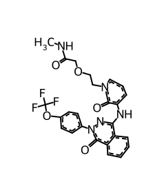 CNC(=O)COCCn1cccc(Nc2nn(-c3ccc(OC(F)(F)F)cc3)c(=O)c3ccccc23)c1=O